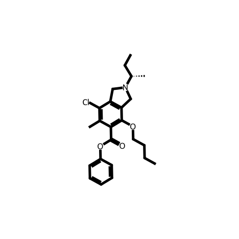 CCCCOc1c2c(c(Cl)c(C)c1C(=O)Oc1ccccc1)CN([C@@H](C)CC)C2